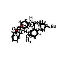 CC(=O)NC(C)C(=O)N1C2CCC1CC(Cc1ccc(NC(=O)Nc3cc(C(C)(C)C)nn3-c3ccc(C)cc3)cc1)C2